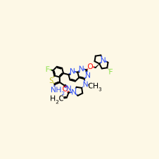 C=CC(=O)N1CC[C@@H](N(C)c2nc(OC[C@@]34CCCN3C[C@H](F)C4)nc3nc(-c4ccc(F)c5sc(N)c(C#N)c45)ccc23)C1